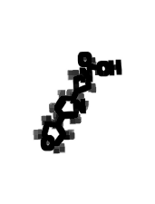 O=C(O)N1CC(c2ccc(C3CCOCC3)cn2)C1